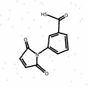 O=C(S)c1cccc(N2C(=O)C=CC2=O)c1